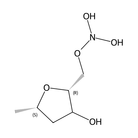 C[C@H]1CC(O)[C@@H](CON(O)O)O1